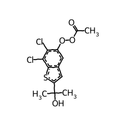 CC(=O)OOc1cc2cc(C(C)(C)O)sc2c(Cl)c1Cl